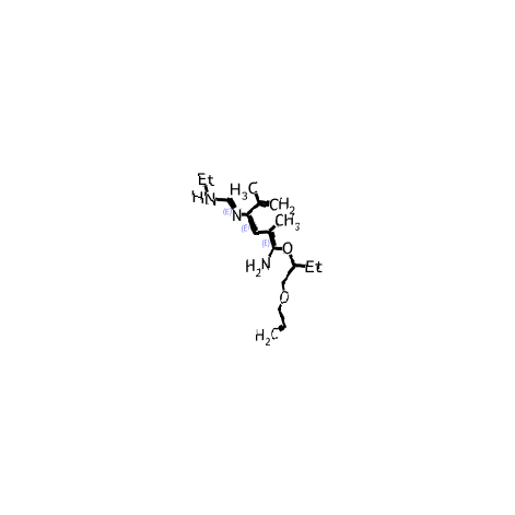 C=CCOCC(CC)O/C(N)=C(C)/C=C(/N=C/NCC)C(=C)C